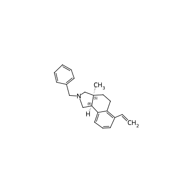 C=Cc1cccc2c1CC[C@]1(C)CN(Cc3ccccc3)C[C@H]21